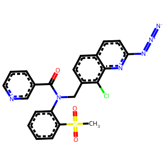 CS(=O)(=O)c1ccccc1N(Cc1ccc2ccc(N=[N+]=[N-])nc2c1Cl)C(=O)c1cccnc1